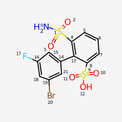 NS(=O)(=O)c1cccc(S(=O)(=O)O)c1-c1cc(F)cc(Br)c1